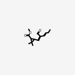 CCC=C/C(C=O)=C/C1C(C(=O)OC)C1(C)C